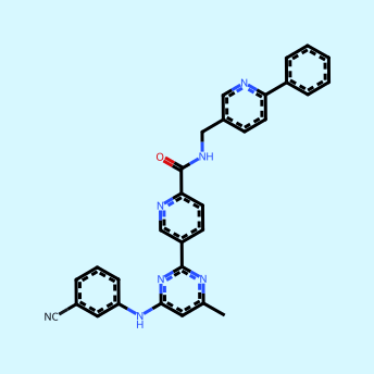 Cc1cc(Nc2cccc(C#N)c2)nc(-c2ccc(C(=O)NCc3ccc(-c4ccccc4)nc3)nc2)n1